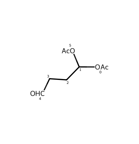 CC(=O)OC(CCC=O)OC(C)=O